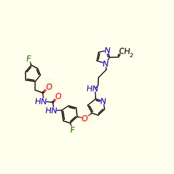 C=Cc1nccn1CCCNc1cc(Oc2ccc(NC(=O)NC(=O)Cc3ccc(F)cc3)cc2F)ccn1